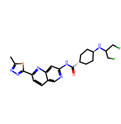 Cc1nnc(-c2ccc3cnc(NC(=O)[C@H]4CC[C@H](NC(CF)CF)CC4)cc3n2)s1